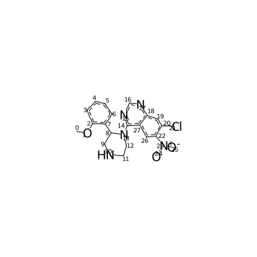 COc1ccccc1C1CNCCN1c1ncnc2cc(Cl)c([N+](=O)[O-])cc12